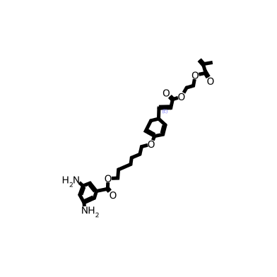 C=C(C)C(=O)OCCOC(=O)/C=C/C1C=CC(OCCCCCCOC(=O)c2cc(N)cc(N)c2)=CC1